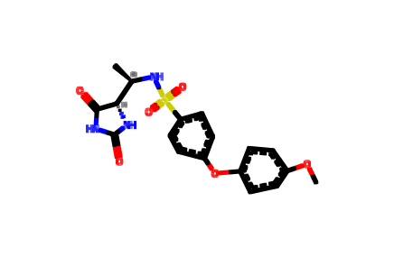 COc1ccc(Oc2ccc(S(=O)(=O)N[C@H](C)[C@@H]3NC(=O)NC3=O)cc2)cc1